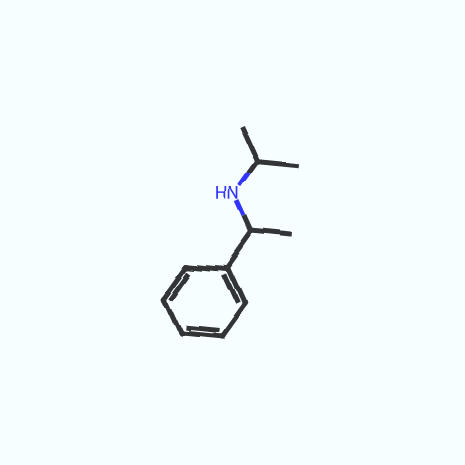 CC(C)NC(C)c1ccccc1